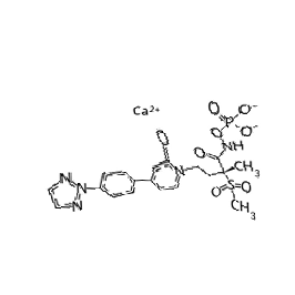 C[C@@](CCn1ccc(-c2ccc(-n3nccn3)cc2)cc1=O)(C(=O)NOP(=O)([O-])[O-])S(C)(=O)=O.[Ca+2]